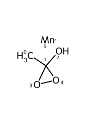 CC1(O)OO1.[Mn]